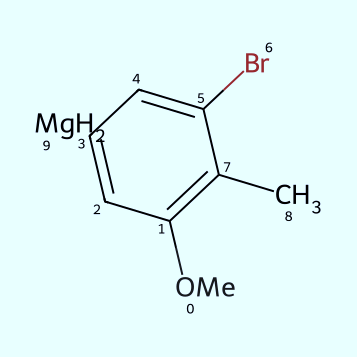 COc1cccc(Br)c1C.[MgH2]